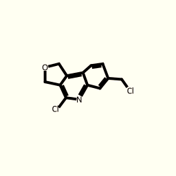 ClCc1ccc2c3c(c(Cl)nc2c1)COC3